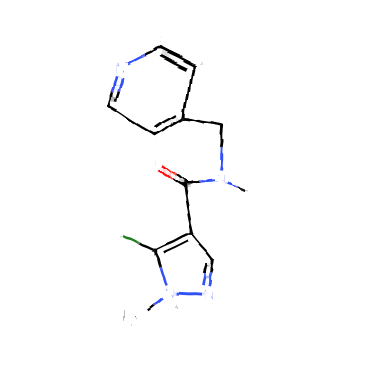 CCN(Cc1ccncc1)C(=O)c1cnn(C)c1Cl